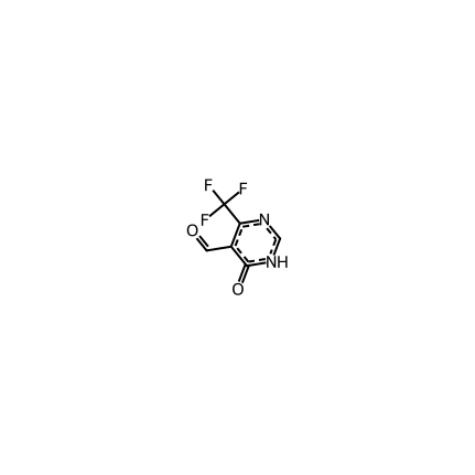 O=Cc1c(C(F)(F)F)nc[nH]c1=O